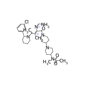 C=C(/C(C)=C(\N=C/N)C(=O)N1CCC(N2CCC(N(C)S(C)(=O)=O)CC2)CC1)N1CCCCC1c1cccc(Cl)c1